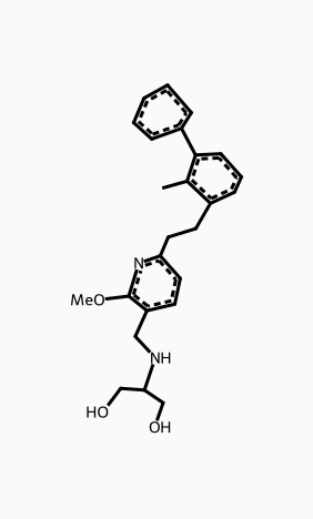 COc1nc(CCc2cccc(-c3ccccc3)c2C)ccc1CNC(CO)CO